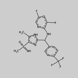 Cc1[nH]c(C(Nc2ncc(F)cc2F)c2ccc(C(F)(F)F)cc2)nc1S(C)(=N)=O